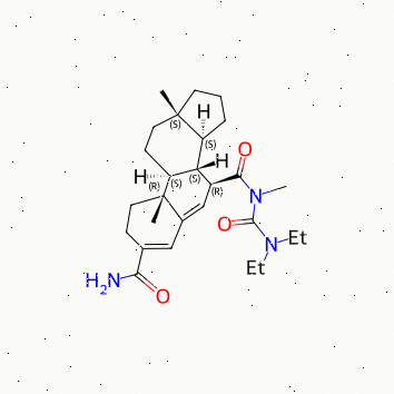 CCN(CC)C(=O)N(C)C(=O)[C@H]1C=C2C=C(C(N)=O)CC[C@]2(C)[C@H]2CC[C@]3(C)CCC[C@H]3[C@H]12